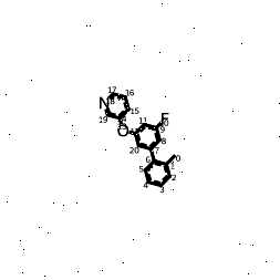 Cc1ccccc1-c1cc(F)cc(Oc2cccnc2)c1